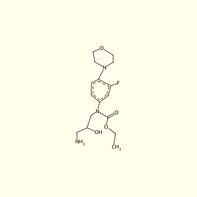 CCOC(=O)N(CC(O)CN)c1ccc(N2CCOCC2)c(F)c1